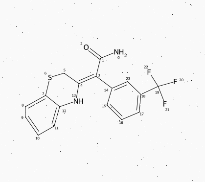 NC(=O)C(=C1CSc2ccccc2N1)c1cccc(C(F)(F)F)c1